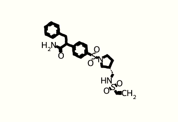 C=CS(=O)(=O)NC[C@H]1CCN(S(=O)(=O)c2ccc(C(Cc3ccccc3)C(N)=O)cc2)C1